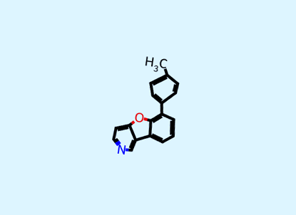 Cc1ccc(-c2cccc3c2oc2ccncc23)cc1